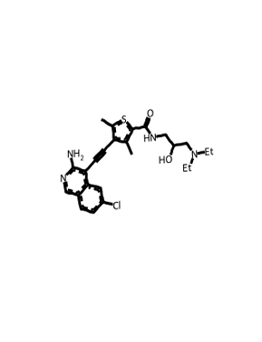 CCN(CC)CC(O)CNC(=O)c1sc(C)c(C#Cc2c(N)ncc3ccc(Cl)cc23)c1C